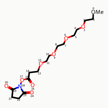 COCCOCCOCCOCCOCCC(=O)ON1C(=O)CCC1=O